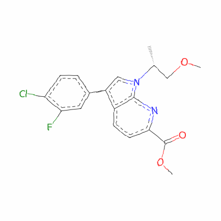 COC[C@@H](C)n1cc(-c2ccc(Cl)c(F)c2)c2ccc(C(=O)OC)nc21